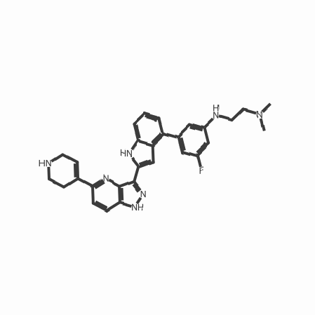 CN(C)CCNc1cc(F)cc(-c2cccc3[nH]c(-c4n[nH]c5ccc(C6=CCNCC6)nc45)cc23)c1